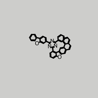 c1ccc(-c2nc(-c3ccc4c(c3)oc3ccccc34)nc(-c3cccc4oc5cc6ccc7ccccc7c6cc5c34)n2)cc1